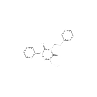 COc1nn(-c2ccccc2)c(=O)n(CCc2ccccc2)c1=O